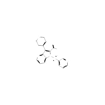 O=C(O)c1c(C2=CCNCC2)c2ncccc2n1S(=O)(=O)c1cccnc1